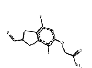 NC(=O)COc1cc(F)c2c(c1F)CC(C=O)C2